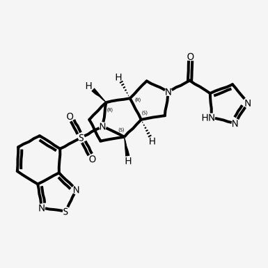 O=C(c1cnn[nH]1)N1C[C@@H]2[C@H](C1)[C@H]1CC[C@@H]2N1S(=O)(=O)c1cccc2nsnc12